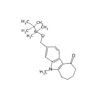 Cn1c2c(c3ccc(CO[Si](C)(C)C(C)(C)C)cc31)C(=O)CCCC2